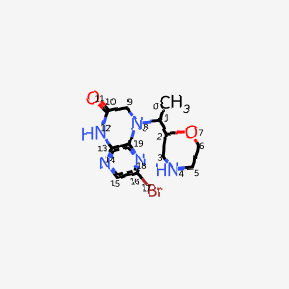 CC(C1CNCCO1)N1CC(=O)Nc2ncc(Br)nc21